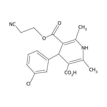 CC1=C(C(=O)O)C(c2cccc(Cl)c2)C(C(=O)OCCC#N)=C(C)N1